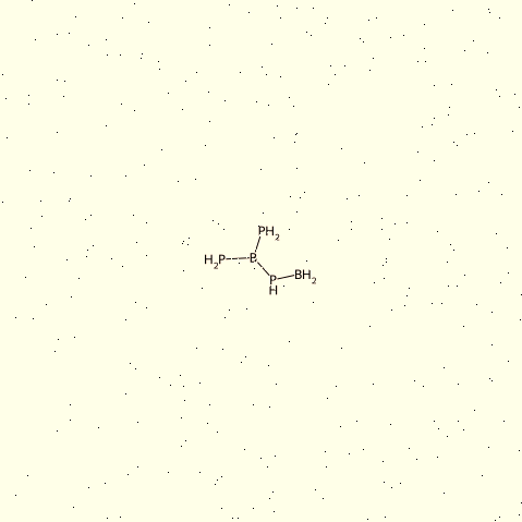 BPB(P)P